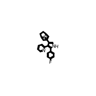 CN1C2C=C(c3c[nH]c(-c4ccc(F)cc4)c3-c3ccccn3)CC1CC2